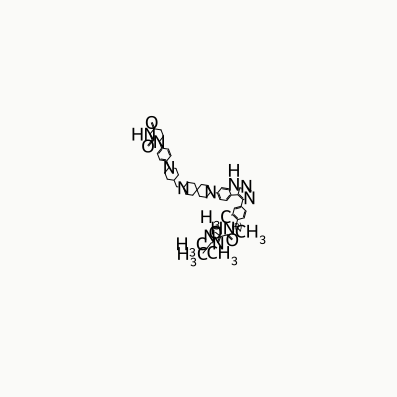 Cc1cc(-c2ncnc3[nH]c4cc(N5CCC6(CCN(CC7CCN(c8ccc(N9CCC(=O)NC9=O)cc8)CC7)CC6)CC5)ccc4c23)ccc1[C@@H](C)NC(=O)c1nc(C(C)(C)C)no1